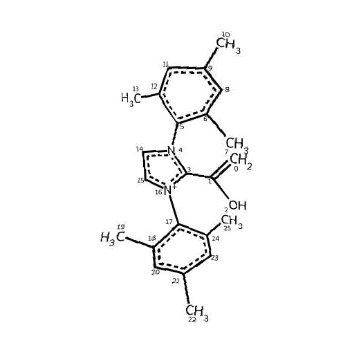 C=C(O)c1n(-c2c(C)cc(C)cc2C)cc[n+]1-c1c(C)cc(C)cc1C